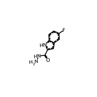 NNC(=O)c1cc2cc(F)ccc2[nH]1